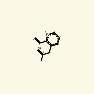 C=Cc1ncccc1CC(=C)C